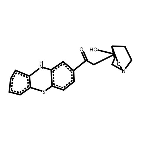 O=C(CC1(O)CN2CCC1CC2)c1ccc2c(c1)Nc1ccccc1S2